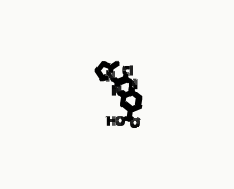 CC1CCCN1c1nc2cc(C(=O)O)ccc2nc1Cl